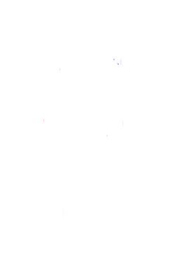 C=[PH]1OC(C(O)CO)C(O)C(O)C1N